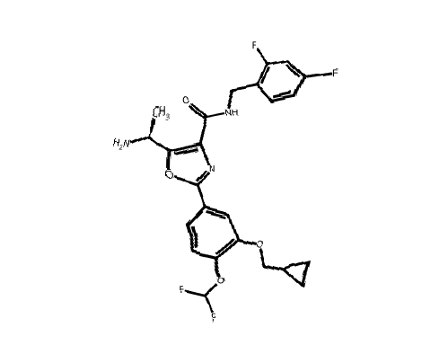 C[C@H](N)c1oc(-c2ccc(OC(F)F)c(OCC3CC3)c2)nc1C(=O)NCc1ccc(F)cc1F